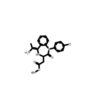 C/C(N)=C1/NC(CC(=O)OC(C)(C)C)C(=O)N(c2ccc(Cl)cc2)c2ccccc21